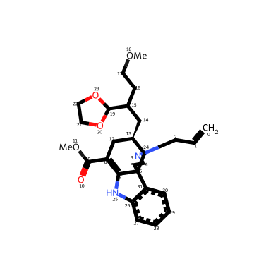 C=CCN1CCC23C(=C(C(=O)OC)C[C@@H](CC(CCOC)C4OCCO4)C12)Nc1ccccc13